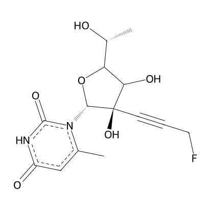 Cc1cc(=O)[nH]c(=O)n1[C@@H]1OC([C@@H](C)O)C(O)[C@]1(O)C#CCF